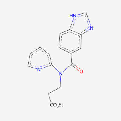 CCOC(=O)CCN(C(=O)c1ccc2[nH]cnc2c1)c1ccccn1